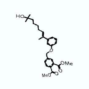 COC(=O)c1ccc(COc2cccc(/C(C)=C/CCCCC(C)(C)O)c2)cc1C(=O)OC